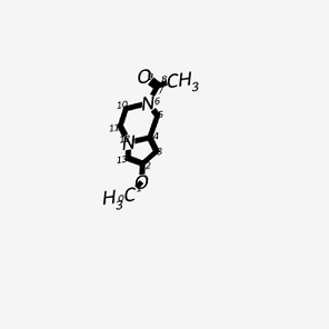 COC1CC2CN(C(C)=O)CCN2C1